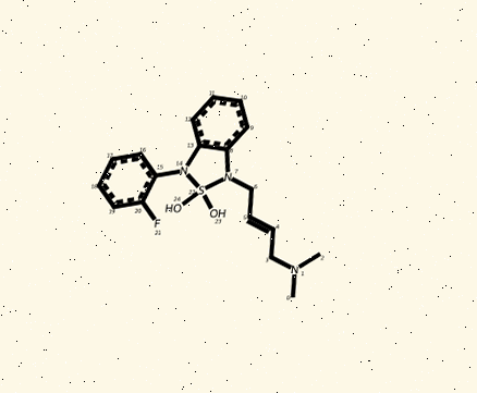 CN(C)CC=CCN1c2ccccc2N(c2ccccc2F)S1(O)O